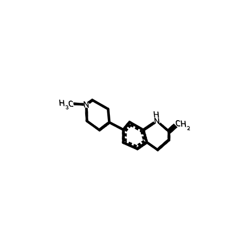 C=C1CCc2ccc(C3CCN(C)CC3)cc2N1